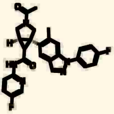 CC(=O)N1C[C@@H]2C(C(=O)Nc3ccc(F)cn3)[C@]2(c2cc3cnn(-c4ccc(F)cc4)c3cc2C)C1